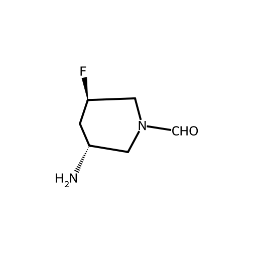 N[C@@H]1C[C@@H](F)CN(C=O)C1